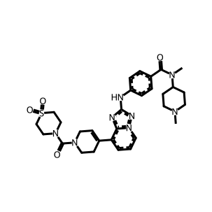 CN1CCC(N(C)C(=O)c2ccc(Nc3nc4c(C5=CCN(C(=O)N6CCS(=O)(=O)CC6)CC5)cccn4n3)cc2)CC1